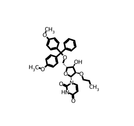 CCCO[C@@H]1[C@H](O)[C@@H](COC(c2ccccc2)(c2ccc(OC)cc2)c2ccc(OC)cc2)O[C@H]1n1ccc(=O)[nH]c1=O